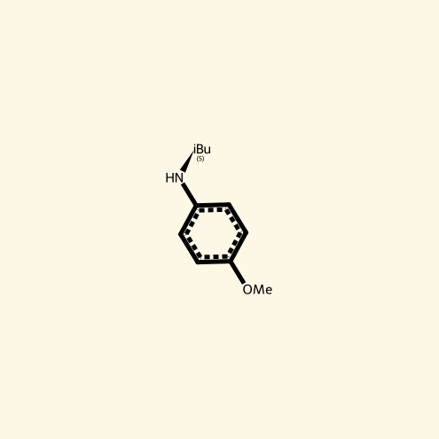 CC[C@H](C)Nc1ccc(OC)cc1